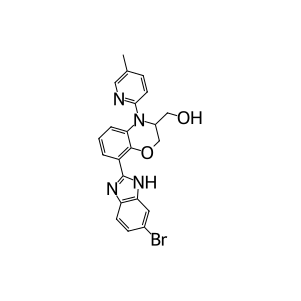 Cc1ccc(N2c3cccc(-c4nc5ccc(Br)cc5[nH]4)c3OCC2CO)nc1